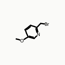 COc1ccc(CBr)nc1